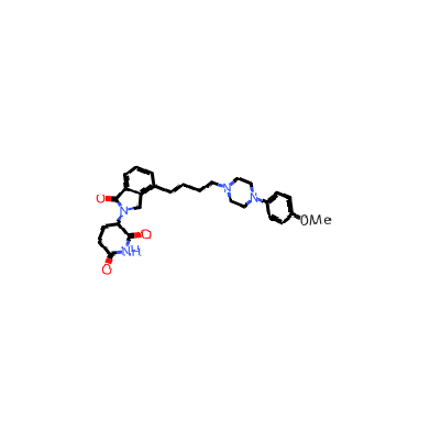 COc1ccc(N2CCN(CCCCc3cccc4c3CN(C3CCC(=O)NC3=O)C4=O)CC2)cc1